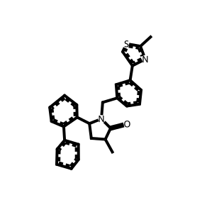 Cc1nc(-c2cccc(CN3C(=O)C(C)CC3c3ccccc3-c3ccccc3)c2)cs1